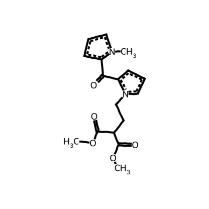 COC(=O)C(CCn1cccc1C(=O)c1cccn1C)C(=O)OC